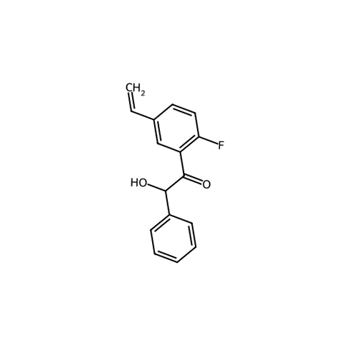 C=Cc1ccc(F)c(C(=O)C(O)c2ccccc2)c1